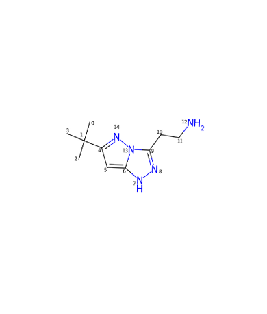 CC(C)(C)c1cc2[nH]nc(CCN)n2n1